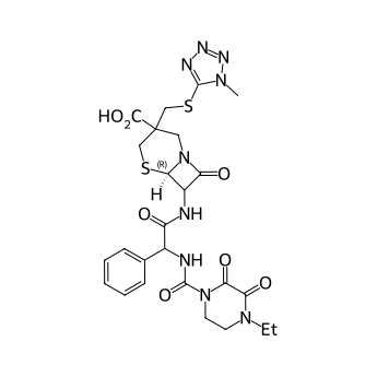 CCN1CCN(C(=O)NC(C(=O)NC2C(=O)N3CC(CSc4nnnn4C)(C(=O)O)CS[C@H]23)c2ccccc2)C(=O)C1=O